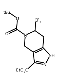 CCOC(=O)c1n[nH]c2c1CN(C(=O)OC(C)(C)C)C(C(F)(F)F)C2